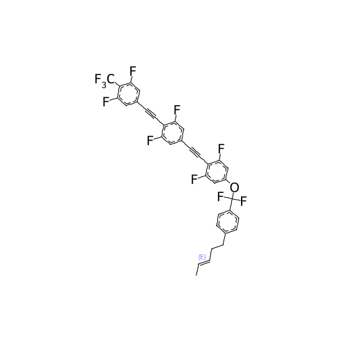 C/C=C/CCc1ccc(C(F)(F)Oc2cc(F)c(C#Cc3cc(F)c(C#Cc4cc(F)c(C(F)(F)F)c(F)c4)c(F)c3)c(F)c2)cc1